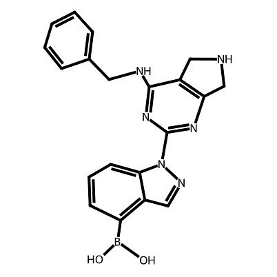 OB(O)c1cccc2c1cnn2-c1nc2c(c(NCc3ccccc3)n1)CNC2